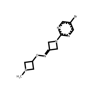 CN1CC(ON=C2CN(c3ncc(Br)cn3)C2)C1